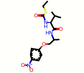 CCSC(=O)N[C@H](C(=O)NC(C)COc1ccc([N+](=O)[O-])cc1)C(C)C